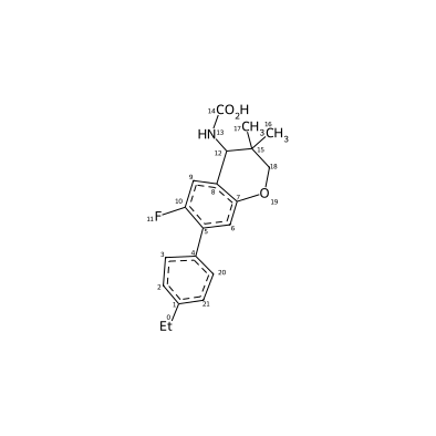 CCc1ccc(-c2cc3c(cc2F)C(NC(=O)O)C(C)(C)CO3)cc1